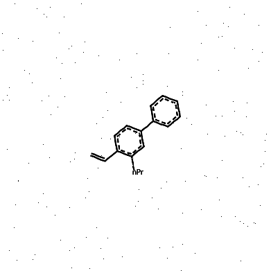 C=Cc1ccc(-c2ccccc2)cc1CCC